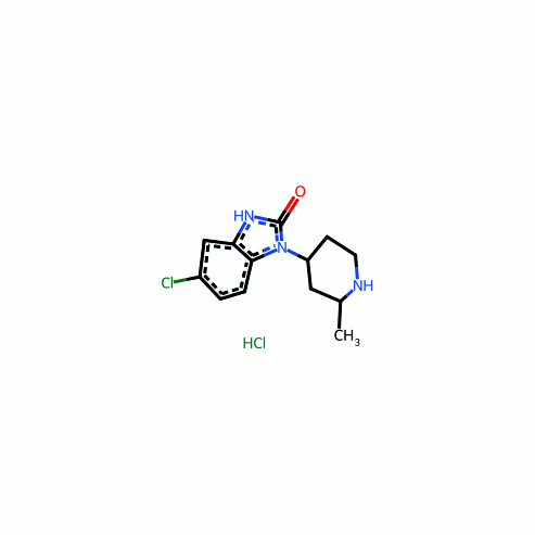 CC1CC(n2c(=O)[nH]c3cc(Cl)ccc32)CCN1.Cl